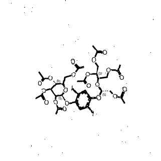 CC(=O)OCC1O[C@@H](Oc2cc(I)c(O[C@@H](COC(C)=O)OC(COC(C)=O)[C@H](COC(C)=O)OC(C)=O)cc2I)C(OC(C)=O)C(OC(C)=O)[C@@H]1OC(C)=O